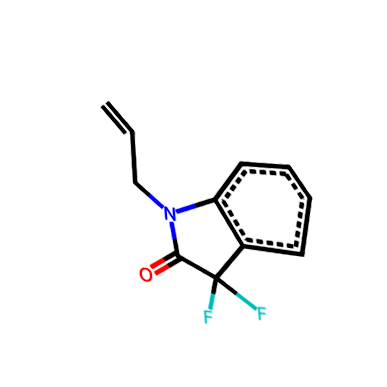 C=CCN1C(=O)C(F)(F)c2ccccc21